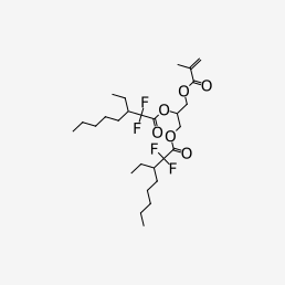 C=C(C)C(=O)OCC(COC(=O)C(F)(F)C(CC)CCCCC)OC(=O)C(F)(F)C(CC)CCCCC